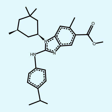 COC(=O)c1cc2nc(Nc3ccc(C(C)C)cc3)n([C@H]3C[C@@H](C)CC(C)(C)C3)c2cc1C